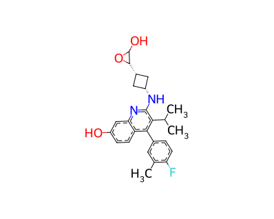 Cc1cc(-c2c(C(C)C)c(N[C@H]3C[C@@H](C4OC4O)C3)nc3cc(O)ccc23)ccc1F